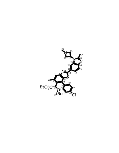 CCOC(=O)[C@@H](OC(C)(C)C)c1c(C)cc2nc(-c3ccc4nc(C)n(C5CN(C)C5)c4c3)sc2c1-c1ccc(Cl)cc1